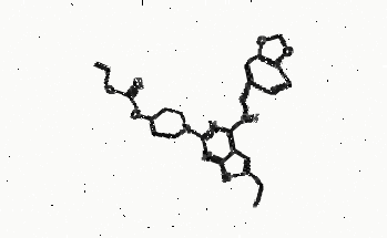 CCOC(=O)OC1CCN(c2nc(NCc3ccc4c(c3)OCO4)c3cc(CC)sc3n2)CC1